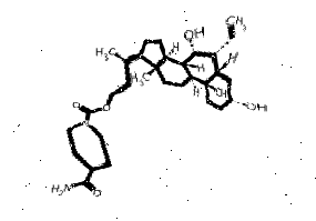 CC[C@H]1[C@@H](O)[C@@H]2[C@H](CC[C@]3(C)C([C@H](C)CCOC(=O)N4CCC(C(N)=O)CC4)CC[C@@H]23)[C@@]2(C)CC[C@@H](O)C[C@@H]12